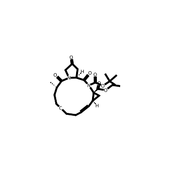 CCOC(=O)[C@@]12C[C@H]1/C=C\CCCCC[C@H](C)C(=O)N1CC(=O)C[C@H]1C(=O)N2C(=O)OC(C)(C)C